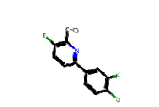 O=Cc1nc(-c2ccc(Cl)c(Cl)c2)ccc1F